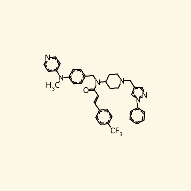 CN(c1ccncc1)c1ccc(CN(C(=O)/C=C/c2ccc(C(F)(F)F)cc2)C2CCN(Cc3cnn(-c4ccccc4)c3)CC2)cc1